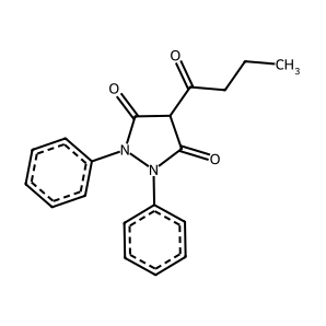 CCCC(=O)C1C(=O)N(c2ccccc2)N(c2ccccc2)C1=O